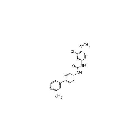 COc1ccc(NC(=O)Nc2ccc(-c3ccnc(C)c3)cc2)cc1Cl